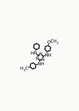 COc1ccc(Nc2nc(Nc3ccccc3)nc(Nc3ccc(C)cc3)n2)cc1